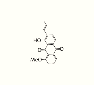 CC=Cc1ccc2c(c1O)C(=O)c1c(OC)cccc1C2=O